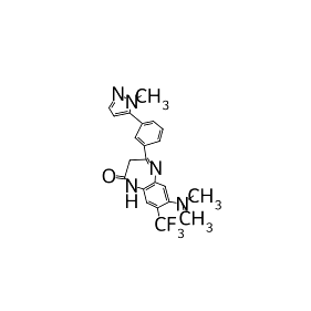 CN(C)c1cc2c(cc1C(F)(F)F)NC(=O)CC(c1cccc(-c3ccnn3C)c1)=N2